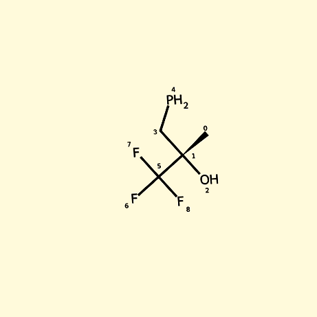 C[C@](O)(CP)C(F)(F)F